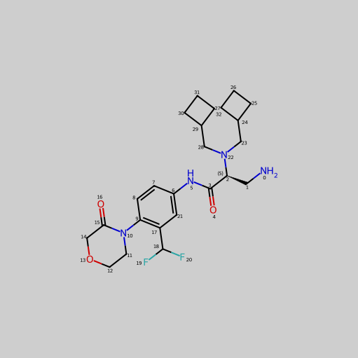 NC[C@@H](C(=O)Nc1ccc(N2CCOCC2=O)c(C(F)F)c1)N(CC1CCC1)CC1CCC1